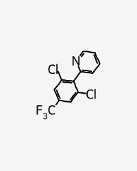 FC(F)(F)c1cc(Cl)c(-c2ccccn2)c(Cl)c1